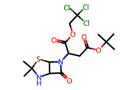 CC(C)(C)OC(=O)CC(C(=O)OCC(Cl)(Cl)Cl)N1C(=O)C2NC(C)(C)SC21